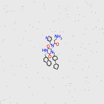 NCCC(=O)N(Cc1cccnc1)C[C@H]1C(=O)N[C@@H](Cc2ccc3ccccc3c2)C(=O)N1Cc1ccc(-c2ccccc2)cc1